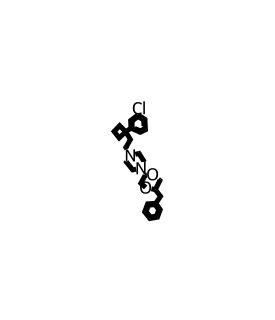 Clc1cccc(C2(CCN3CCN(C4COC(Cc5ccccc5)CO4)CC3)CCC2)c1